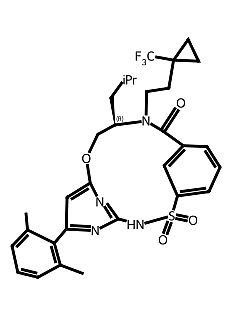 Cc1cccc(C)c1-c1cc2nc(n1)NS(=O)(=O)c1cccc(c1)C(=O)N(CCC1(C(F)(F)F)CC1)[C@H](CC(C)C)CO2